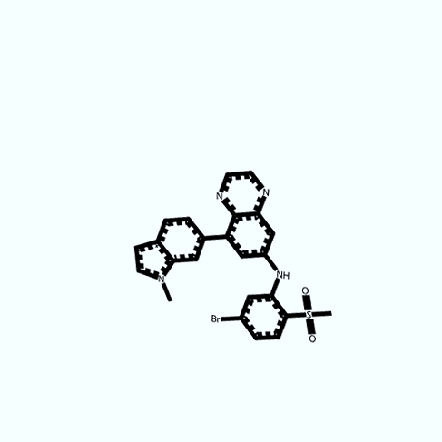 Cn1ccc2ccc(-c3cc(Nc4cc(Br)ccc4S(C)(=O)=O)cc4nccnc34)cc21